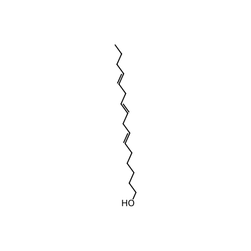 CCCC=CCC=CCC=CCCCCCO